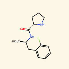 O=C(O)[C@H](Cc1ccccc1F)NC(=O)[C@@H]1CCCN1